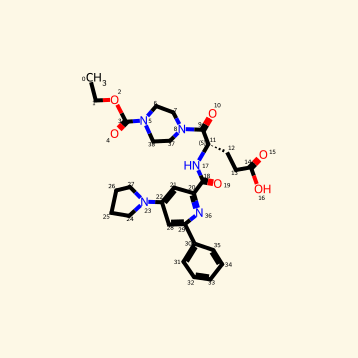 CCOC(=O)N1CCN(C(=O)[C@H](CCC(=O)O)NC(=O)c2cc(N3CCCC3)cc(-c3ccccc3)n2)CC1